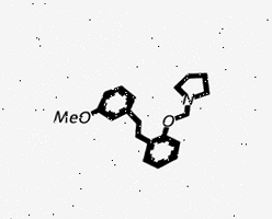 COc1cccc(CCc2ccccc2OCN2CCCC2)c1